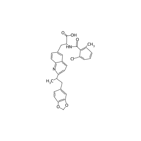 Cc1cccc(Cl)c1C(=O)NC(Cc1ccc2nc(C(C)Cc3ccc4c(c3)OCO4)ccc2c1)C(=O)O